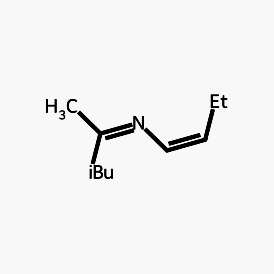 CC/C=C\N=C(\C)C(C)CC